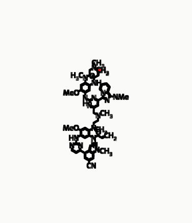 C=CC(=O)Nc1cc(Nc2nc(CN(C)CCN(C)c3cc(OC)c(Nc4nccc(-c5cc(C#N)cc6c5cnn6C)n4)cc3NC(=O)C=C)cc(-c3nc(NC)c4ccccn34)n2)c(OC)cc1N(C)CCN(C)C